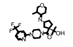 CC1COCC/C1=N\[C@@H]1CC[C@@](C(=O)N2CCN(c3cc(C(F)(F)F)ccn3)CC2)(C(C)(C)O)C1